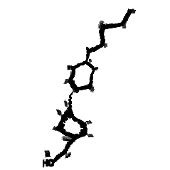 CCCCC[C@H]1CC[C@H](c2ccc(CO)cc2)CC1